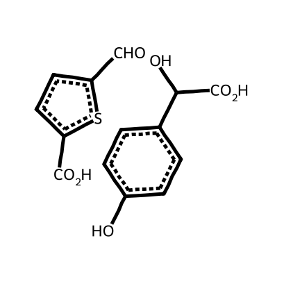 O=C(O)C(O)c1ccc(O)cc1.O=Cc1ccc(C(=O)O)s1